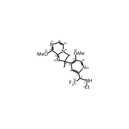 CCNC(c1cc(C2(C)CN3C=CN=C(OC)C3=N2)c(OC)cn1)C(F)(F)F